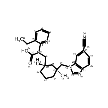 CCc1cccnc1N(C[C@@]1(C)CCC[C@](C)(Cn2cnc3ccc(C#N)cc32)C1)C(=O)O